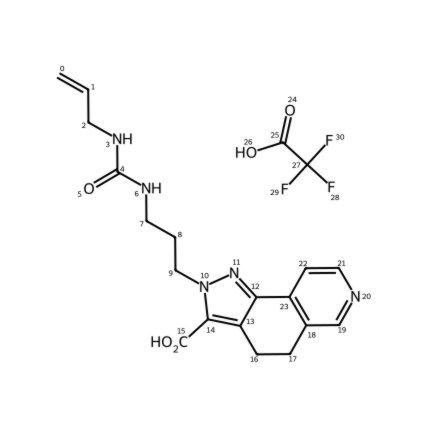 C=CCNC(=O)NCCCn1nc2c(c1C(=O)O)CCc1cnccc1-2.O=C(O)C(F)(F)F